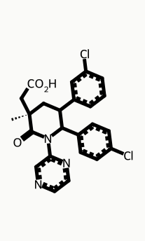 C[C@]1(CC(=O)O)CC(c2cccc(Cl)c2)C(c2ccc(Cl)cc2)N(c2cnccn2)C1=O